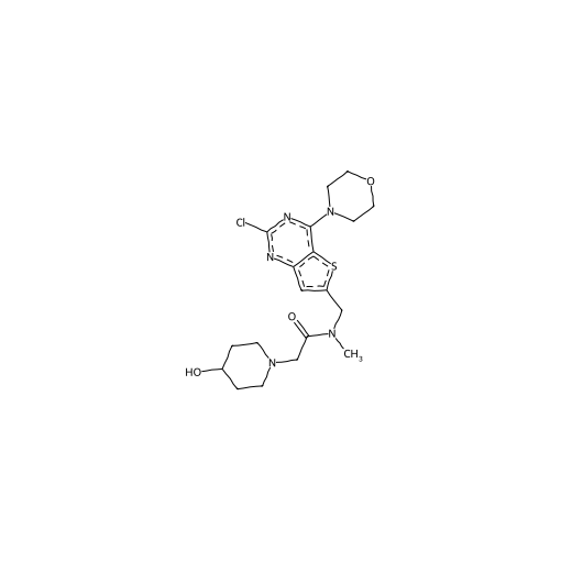 CN(Cc1cc2nc(Cl)nc(N3CCOCC3)c2s1)C(=O)CN1CCC(O)CC1